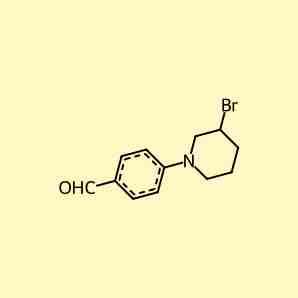 O=Cc1ccc(N2CCCC(Br)C2)cc1